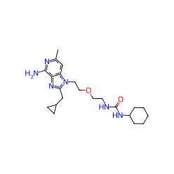 Cc1cc2c(nc(CC3CC3)n2CCOCCNC(=O)NC2CCCCC2)c(N)n1